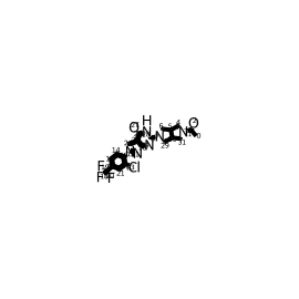 CC(=O)N1CC2CN(c3nc4nn(-c5ccc(C(F)(F)F)cc5Cl)cc4c(=O)[nH]3)CC2C1